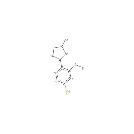 CCc1cc(S)ccc1C1CCC(C)C1